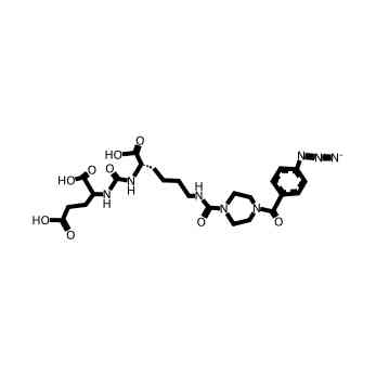 [N-]=[N+]=Nc1ccc(C(=O)N2CCN(C(=O)NCCCC[C@H](NC(=O)NC(CCC(=O)O)C(=O)O)C(=O)O)CC2)cc1